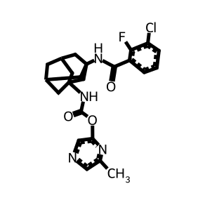 Cc1cncc(OC(=O)NC23CC4CC(C2)CC(NC(=O)c2cccc(Cl)c2F)(C4)C3)n1